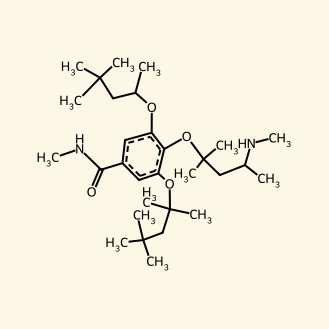 CNC(=O)c1cc(OC(C)CC(C)(C)C)c(OC(C)(C)CC(C)NC)c(OC(C)(C)CC(C)(C)C)c1